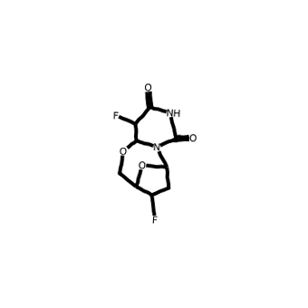 O=C1NC(=O)N2C3CC(F)C(COC2C1F)O3